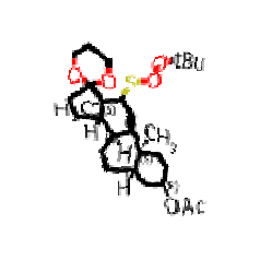 CC(=O)O[C@@H]1CC[C@]2(C)C3=CC(SOOC(C)(C)C)[C@@]4(C)[C@@H](CCC45OCCCO5)[C@@H]3CC[C@@H]2C1